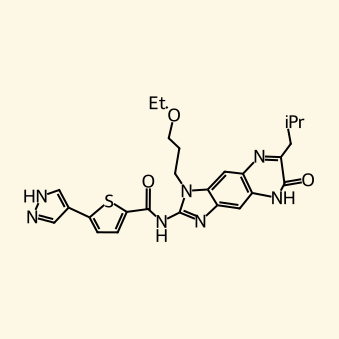 CCOCCCn1c(NC(=O)c2ccc(-c3cn[nH]c3)s2)nc2cc3[nH]c(=O)c(CC(C)C)nc3cc21